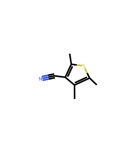 Cc1sc(C)c(C#N)c1C